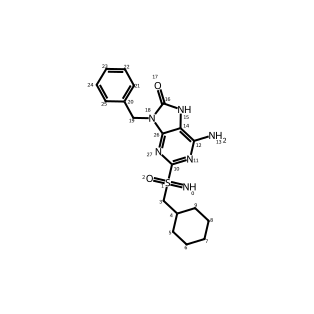 N=S(=O)(CC1CCCCC1)c1nc(N)c2[nH]c(=O)n(Cc3ccccc3)c2n1